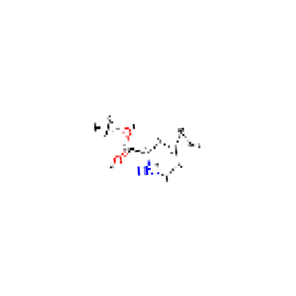 COC(=O)[C@H]1CC2(CCN1)CC2